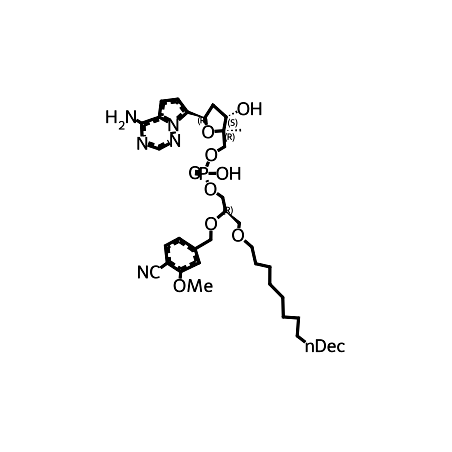 CCCCCCCCCCCCCCCCCCOC[C@H](COP(=O)(O)OC[C@@]1(C)O[C@@H](c2ccc3c(N)ncnn23)C[C@@H]1O)OCc1ccc(C#N)c(OC)c1